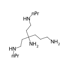 CCCNCCC(N)(CCCN)CCNCCC